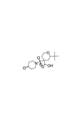 CC(C)(C)C1CC(C(=O)O)(S(=O)(=O)N2CCC(=O)CC2)CCO1